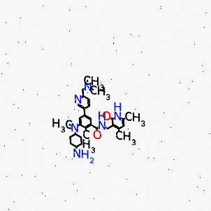 Cc1cc(C)c(CNC(=O)c2cc(-c3ccc(CN(C)C)nc3)cc(N(C)C3CCC(N)CC3)c2C)c(=O)[nH]1